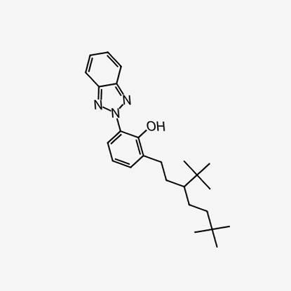 CC(C)(C)CCC(CCc1cccc(-n2nc3ccccc3n2)c1O)C(C)(C)C